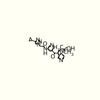 CC(C)(CO)n1cc(C(=O)c2cncc(NC(=O)Cn3cc(C4CC4)nn3)c2)c2cnccc21